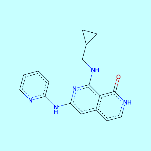 O=c1[nH]ccc2cc(Nc3ccccn3)nc(NCC3CC3)c12